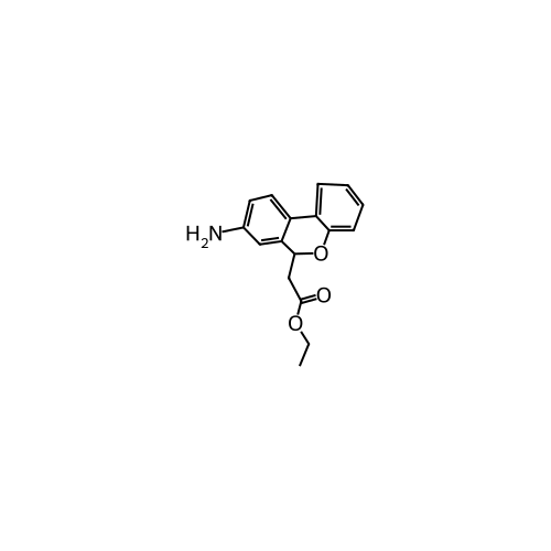 CCOC(=O)CC1Oc2ccccc2-c2ccc(N)cc21